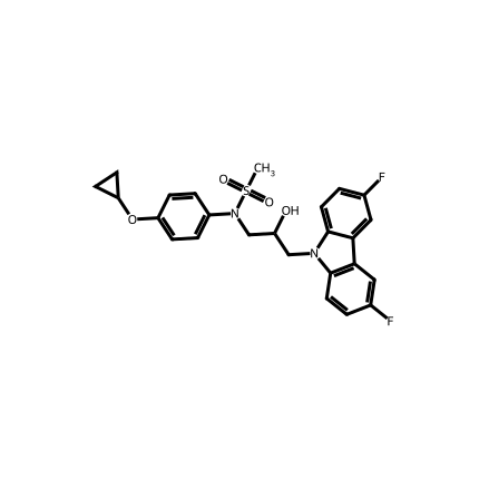 CS(=O)(=O)N(CC(O)Cn1c2ccc(F)cc2c2cc(F)ccc21)c1ccc(OC2CC2)cc1